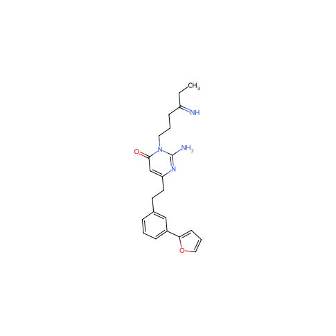 CCC(=N)CCCn1c(N)nc(CCc2cccc(-c3ccco3)c2)cc1=O